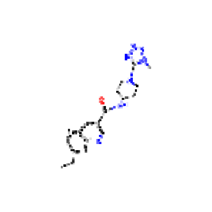 CCc1ccc2cc(C(=O)NC3CCN(c4nnnn4C)CC3)cnc2c1